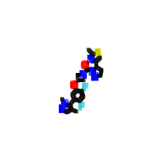 Cc1nc(C2CC=NN2C(=O)N2CC(Oc3cc(-c4c(C)cnn4C)c(F)cc3F)C2)cs1